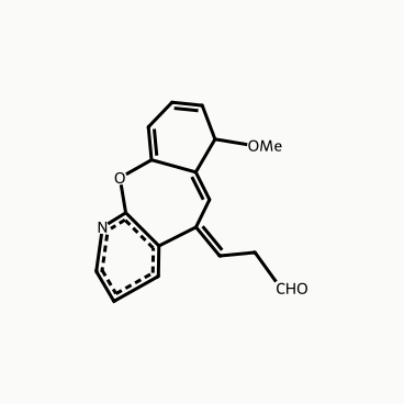 COC1C=CC=C2Oc3ncccc3C(=CCC=O)C=C21